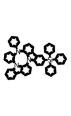 c1ccc(-n2c3ccccc3n3c4ccccc4c4cccc(c43)n3c4ccc([Si](c5ccccc5)(c5ccccc5)c5ccccc5)cc4c4cccc2c43)cc1